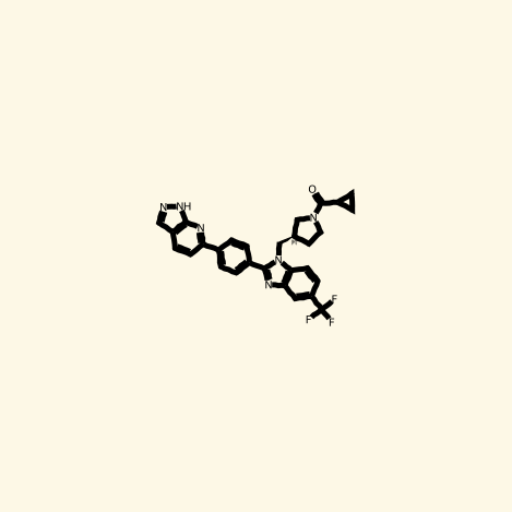 O=C(C1CC1)N1CC[C@@H](Cn2c(-c3ccc(-c4ccc5cn[nH]c5n4)cc3)nc3cc(C(F)(F)F)ccc32)C1